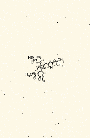 COC(=O)N1c2ccc3c(nc(Cc4cncc(OC(C)C)c4)n3[C@@H]3CCC[C@@H](C(=O)O)C3)c2CCC1C